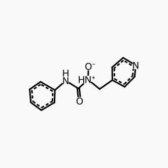 O=C(Nc1ccccc1)[NH+]([O-])Cc1ccncc1